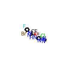 O=C(Nc1cnc(-n2nccn2)c(Cl)c1)c1cnn(-c2ccc(F)cc2Br)c1C(F)(F)F